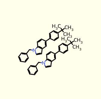 CC(C)(C)c1ccc(-c2ccc3c(ccn3Cc3ccccc3)c2)cc1.CC(C)(C)c1ccc(-c2ccc3c(ccn3Cc3ccccc3)c2)cc1